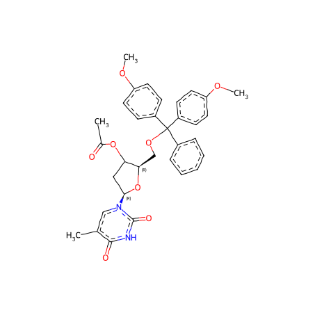 COc1ccc(C(OC[C@H]2O[C@@H](n3cc(C)c(=O)[nH]c3=O)CC2OC(C)=O)(c2ccccc2)c2ccc(OC)cc2)cc1